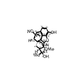 CC[C@](O)([C@H]1C[C@@]23CC[C@]1(OC)[C@@H]1Oc4c(O)ccc5c4[C@@]12CCN(C#N)[C@@H]3C5)C(C)(C)C